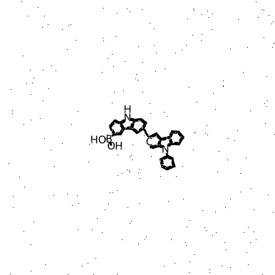 OB(O)c1ccc2[nH]c3ccc(-c4ccc5c(c4)c4ccccc4n5-c4ccccc4)cc3c2c1